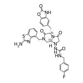 Nc1nc2c(CN3C[C@@H]4N(NC(=O)NCc5ccc(F)cc5)CC(=O)N4[C@@H](Cc4ccc5oc(=O)[nH]c5c4)C3=O)cccc2s1